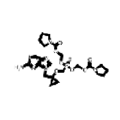 Nc1ncc2ncn(CC3(OCP(=O)(OCOC(=O)N4CCCC4)OCOC(=O)N4CCCC4)CC3)c2n1